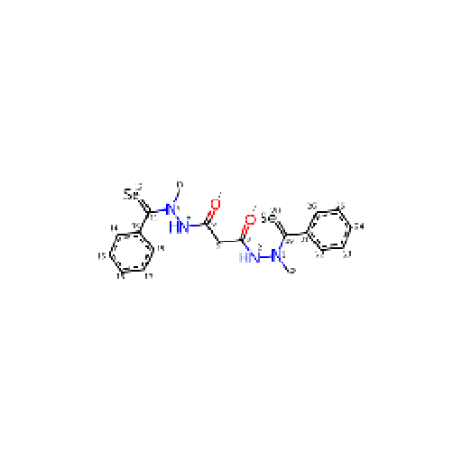 CN(NC(=O)CC(=O)NN(C)C(=[Se])c1ccccc1)C(=[Se])c1ccccc1